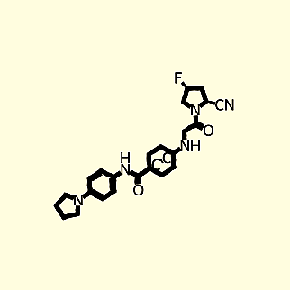 N#C[C@@H]1C[C@H](F)CN1C(=O)CNC12CCC(C(=O)Nc3ccc(N4CCCC4)cc3)(CC1)CC2